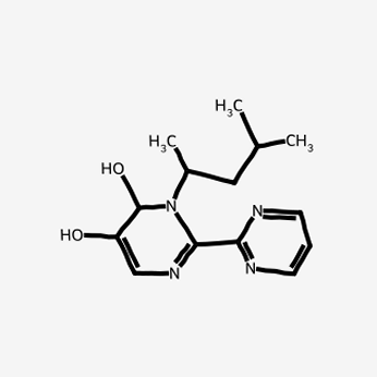 CC(C)CC(C)N1C(c2ncccn2)=NC=C(O)C1O